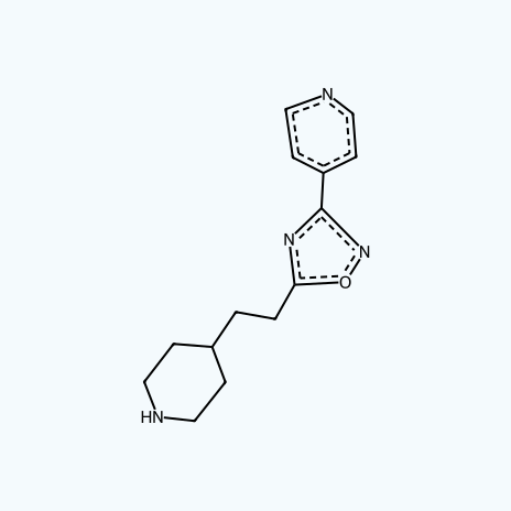 c1cc(-c2noc(CCC3CCNCC3)n2)ccn1